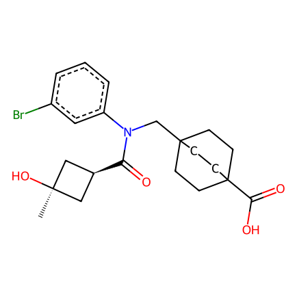 C[C@]1(O)C[C@@H](C(=O)N(CC23CCC(C(=O)O)(CC2)CC3)c2cccc(Br)c2)C1